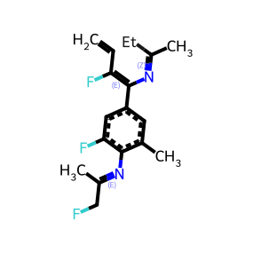 C=C/C(F)=C(\N=C(\C)CC)c1cc(C)c(/N=C(\C)CF)c(F)c1